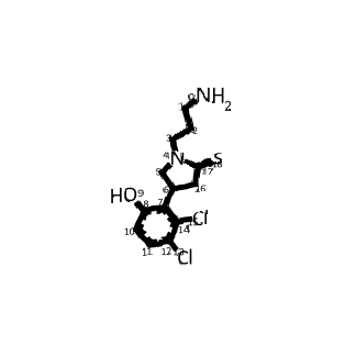 NCCCN1CC(c2c(O)ccc(Cl)c2Cl)CC1=S